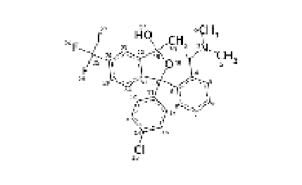 CN(C)Cc1ccccc1C1(c2ccc(Cl)cc2)OC(C)(O)c2cc(C(F)(F)F)ccc21